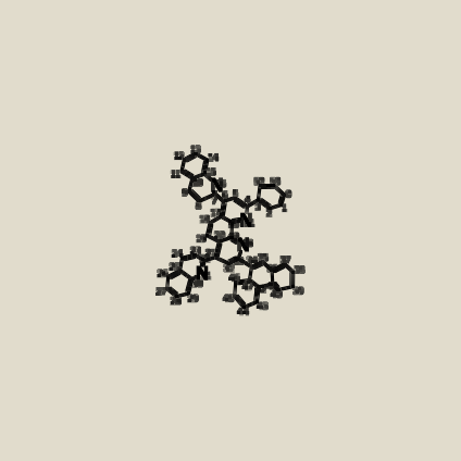 c1ccc(-c2cc(-c3ccc4ccccc4n3)c3ccc4c(-c5ccc6ccccc6n5)cc(-c5cc6ccccc6c6ccccc56)nc4c3n2)cc1